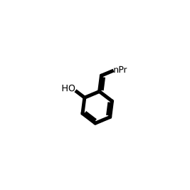 CCCC=C1C=CC=CC1O